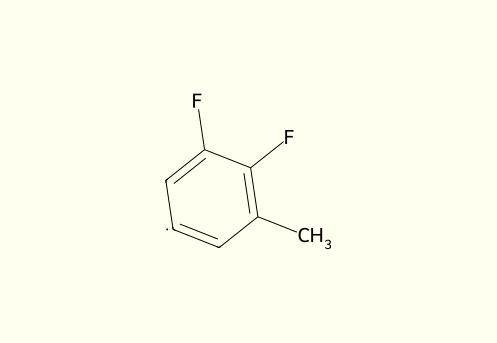 Cc1c[c]cc(F)c1F